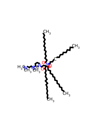 CCCCCCCCCCCCCCCC(=O)N(C(=O)CCCCCCCCCCCCCCC)C(CCN(C)CCCCN(C)CCCN(C)C)(C(=O)CCCCCCCCCCCCCCC)C(=O)CCCCCCCCCCCCCCC